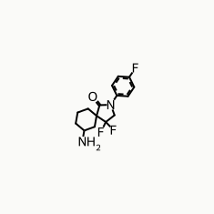 NC1CCCC2(C1)C(=O)N(c1ccc(F)cc1)CC2(F)F